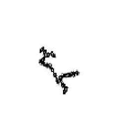 c1ccc(-c2ccc(N(c3ccc(-c4cccc5ccccc45)cc3)c3ccc4oc5cc6nc(-c7ccc(-c8ccc(-c9cccc(N(c%10ccc(-c%11cccc%12ccccc%11%12)cc%10)c%10ccc%11oc%12cc%13nc(-c%14ccccc%14)oc%13cc%12c%11c%10)c9)cc8)cc7)oc6cc5c4c3)cc2)cc1